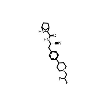 N#C[C@H](Cc1ccc(C2CCN(CC(F)F)CC2)cc1)NC(=O)C1NC2CCC1C2